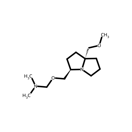 COC[C@]12CCCN1[C@@H](COCN(C)C)CC2